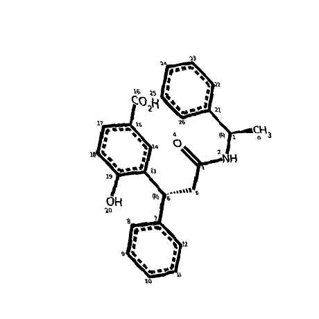 C[C@@H](NC(=O)C[C@H](c1ccccc1)c1cc(C(=O)O)ccc1O)c1ccccc1